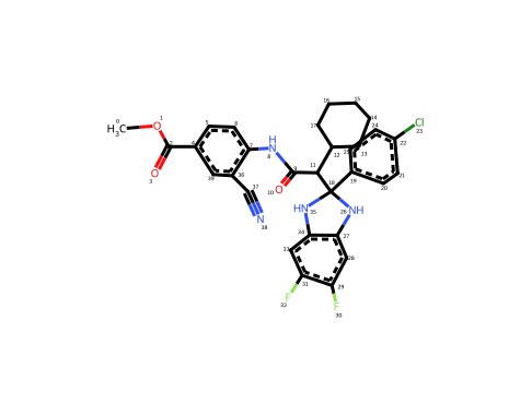 COC(=O)c1ccc(NC(=O)C(C2CCCCC2)C2(c3ccc(Cl)cc3)Nc3cc(F)c(F)cc3N2)c(C#N)c1